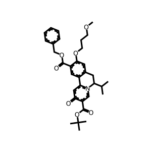 COCCCOc1cc2c(cc1C(=O)OCc1ccccc1)-c1cc(=O)c(C(=O)OC(C)(C)C)cn1C(C(C)C)C2